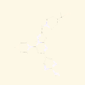 CC(C)(O)C1CCN(Cc2cc3nc(-c4cnc(N)nc4)cc(N4CCOCC4)n3n2)CC1